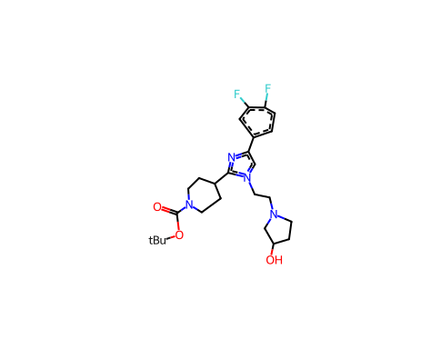 CC(C)(C)OC(=O)N1CCC(c2nc(-c3ccc(F)c(F)c3)cn2CCN2CCC(O)C2)CC1